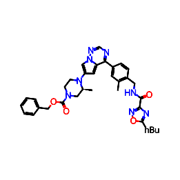 CCCCc1nc(C(=O)NCc2ccc(-c3ncnn4cc(N5CCN(C(=O)OCc6ccccc6)C[C@@H]5C)cc34)cc2C)no1